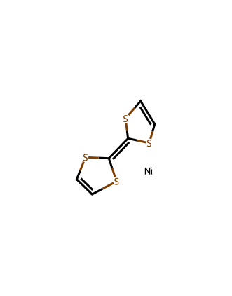 C1=CSC(=C2SC=CS2)S1.[Ni]